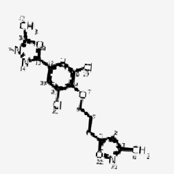 Cc1cc(CCCOc2c(Cl)cc(-c3nnc(C)o3)cc2Cl)on1